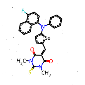 CN1C(=O)C(=Cc2ccc(N(c3ccccc3)c3ccc(F)c4ccccc34)[se]2)C(=O)N(C)C1=S